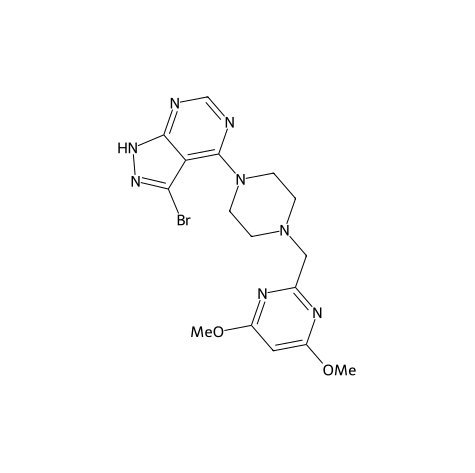 COc1cc(OC)nc(CN2CCN(c3ncnc4[nH]nc(Br)c34)CC2)n1